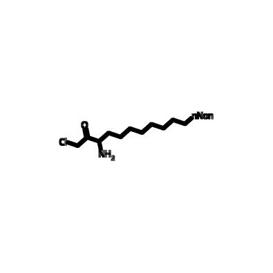 CCCCCCCCCCCCCCCCCC(N)C(=O)CCl